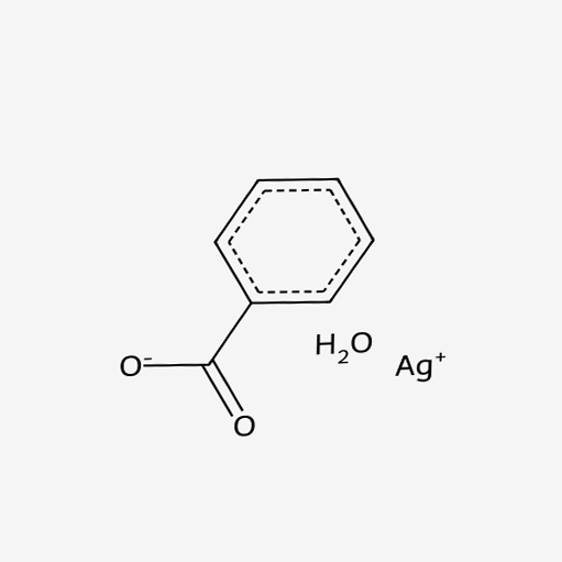 O.O=C([O-])c1ccccc1.[Ag+]